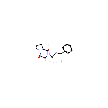 CCCCC[C@H]1C(=O)N2CCC[C@H]2C(=O)N1[C@@H](CCc1ccccc1)C(=O)O